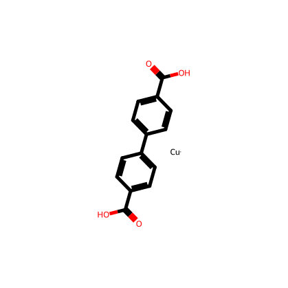 O=C(O)c1ccc(-c2ccc(C(=O)O)cc2)cc1.[Cu]